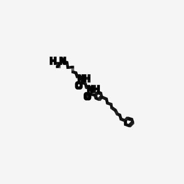 NCCCCCCNC(=O)CCNC(=O)c1ccc(CCCCCCCCc2ccccc2)cc1